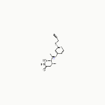 C#CCSc1cccc(/C=C(\C)C2NNC(=O)CC2C)c1